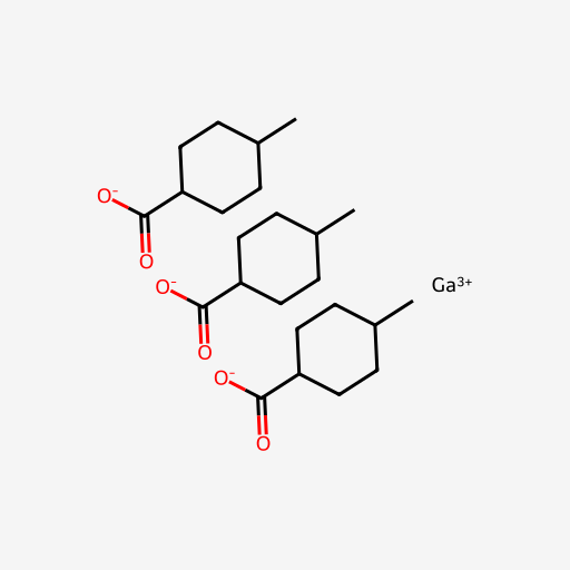 CC1CCC(C(=O)[O-])CC1.CC1CCC(C(=O)[O-])CC1.CC1CCC(C(=O)[O-])CC1.[Ga+3]